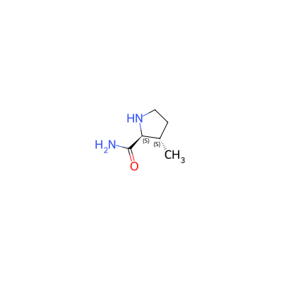 C[C@H]1CCN[C@@H]1C(N)=O